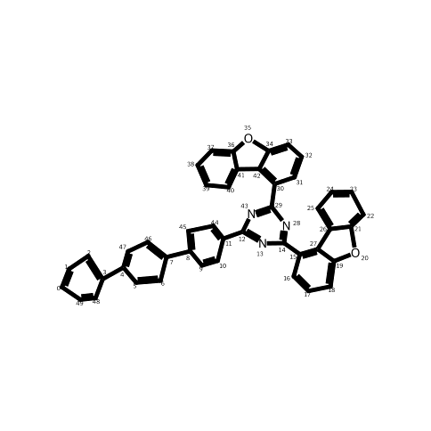 c1ccc(-c2ccc(-c3ccc(-c4nc(-c5cccc6oc7ccccc7c56)nc(-c5cccc6oc7ccccc7c56)n4)cc3)cc2)cc1